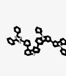 c1ccc(-c2nc(-c3ccccc3)nc(-c3cccc(-c4cccc5oc6ccc(-c7ccc8c(c7)c7cc(-c9ccc%10c(c9)c9ccccc9n%10-c9ccccc9)ccc7n8-c7ccccc7)cc6c45)c3)n2)cc1